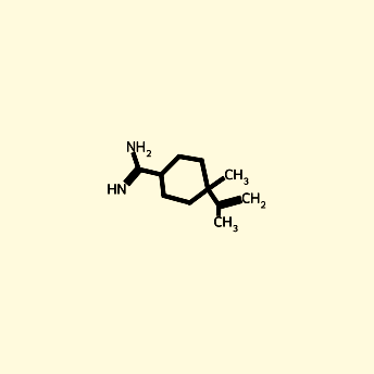 C=C(C)C1(C)CCC(C(=N)N)CC1